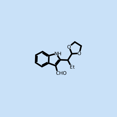 CCC(c1[nH]c2ccccc2c1C=O)C1OCCO1